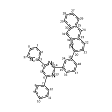 c1ccc(-c2cc(-c3ccccc3)nc(-c3cccc(-c4ccc5cc6ccccc6cc5n4)c3)n2)cc1